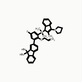 C=CCOc1c(-c2ccc3c(c2)C(CCCC)(CCCC)c2ccccc2-3)cc(F)cc1[Si](C)(C)C1C(C)=C(N2CCCC2)c2ccccc21